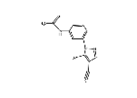 CC(=O)Nc1cccc(-n2ncc(C#N)c2N)c1